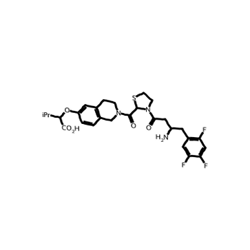 CC(C)C(Oc1ccc2c(c1)CCN(C(=O)C1SCCN1C(=O)CC(N)Cc1cc(F)c(F)cc1F)C2)C(=O)O